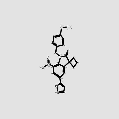 COc1ccc(CN2C(=O)C3(CCC3)c3cc(-c4ccn[nH]4)cc([N+](=O)[O-])c32)cc1